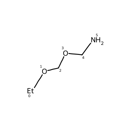 CCOCOCN